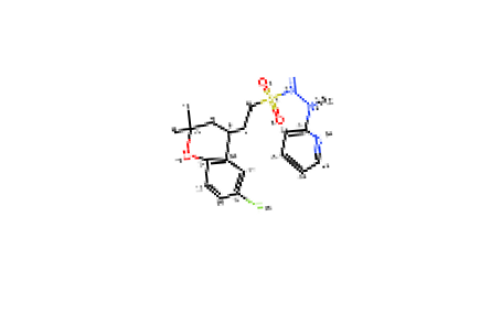 CC(=O)N(NS(=O)(=O)CCC1CC(C)(C)Oc2ccc(F)cc21)c1ccccn1